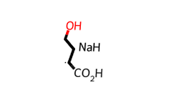 O=C(O)[CH]CCO.[NaH]